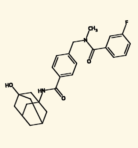 CN(Cc1ccc(C(=O)NC23CC4CC(CC(O)(C4)C2)C3)cc1)C(=O)c1cccc(F)c1